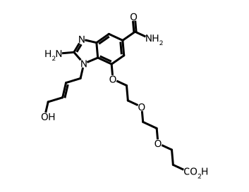 NC(=O)c1cc(OCCOCCOCCC(=O)O)c2c(c1)nc(N)n2CC=CCO